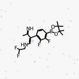 CC(=N)/C(=C\NCC(F)F)c1ccc(B2OC(C)(C)C(C)(C)O2)c(F)c1F